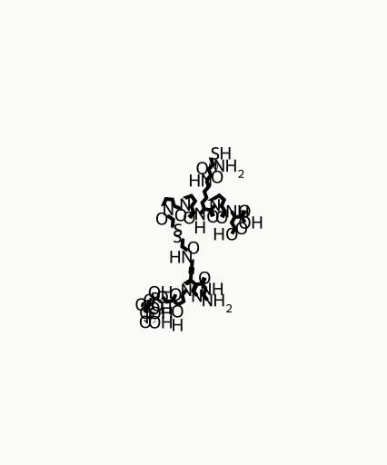 Nc1nc2c(c(C#CCNC(=O)CCSSCCC(=O)N3CCCC3C(=O)N3CCCC3C(=O)NC(CCCCNC(=O)C(=O)[C@@H](N)CS)C(=O)N3CCCC3C(=O)NC(CC(=O)O)C(=O)O)cn2C2CC(O)C(COP(=O)(O)OP(=O)(O)OP(=O)(O)O)O2)c(=O)[nH]1